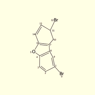 Brc1ccc2oc3c(c2c1)CC(Br)C=C3